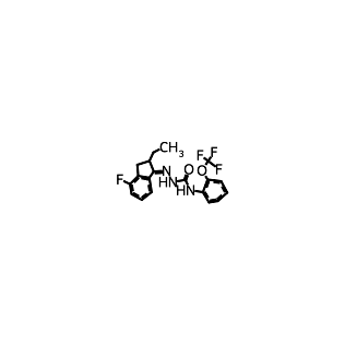 CCC1Cc2c(F)cccc2C1=NNC(=O)Nc1ccccc1OC(F)(F)F